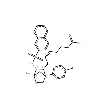 O=C(O)CCC/C=C\C[C@@H]1[C@@H](NS(=O)(=O)c2ccc3ccccc3c2)[C@H]2C[C@]1(c1ccc(F)cc1)CO2